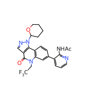 CC(=O)Nc1ncccc1-c1ccc2c3c(cnn3C3CCCCO3)c(=O)n(CC(F)(F)F)c2c1